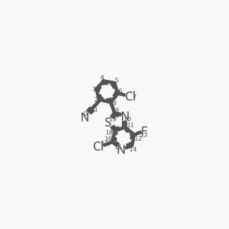 N#Cc1cccc(Cl)c1-c1nc2c(F)cnc(Cl)c2s1